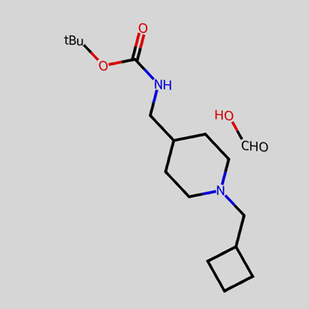 CC(C)(C)OC(=O)NCC1CCN(CC2CCC2)CC1.O=CO